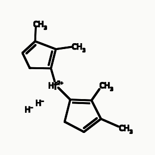 CC1=CC[C]([Hf+2][C]2=C(C)C(C)=CC2)=C1C.[H-].[H-]